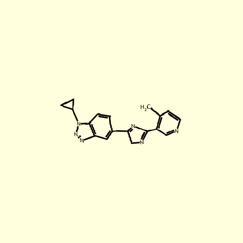 Cc1ccncc1C1=NCC(c2ccc3c(c2)nnn3C2CC2)=N1